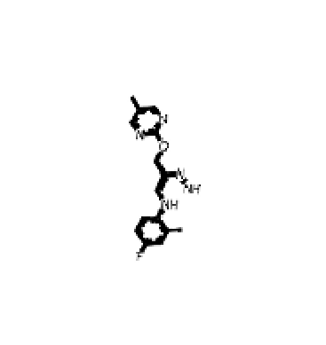 Cc1cnc(OC/C(=C/Nc2ccc(F)cc2C)N=N)nc1